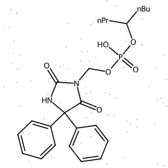 CCCCC(CCC)OP(=O)(O)OCN1C(=O)NC(c2ccccc2)(c2ccccc2)C1=O